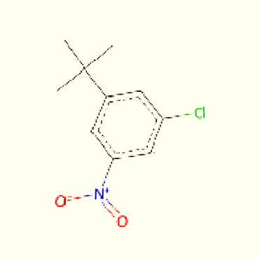 CC(C)(C)c1cc(Cl)[c]c([N+](=O)[O-])c1